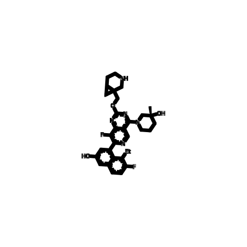 CCc1c(F)ccc2cc(O)cc(-c3ncc4c(N5CCC[C@@](C)(O)C5)nc(OCC56CNCCC5C6)nc4c3F)c12